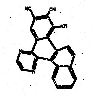 N#Cc1cc2c3nccnc3c3c4ccccc4ccc3c2c(C#N)c1C#N